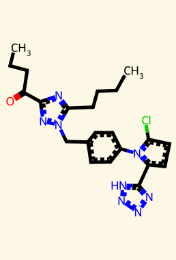 CCCCc1nc(C(=O)CCC)nn1Cc1ccc(-n2c(Cl)ccc2-c2nnn[nH]2)cc1